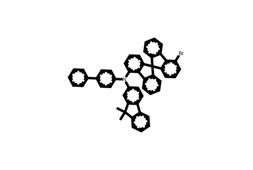 CC1(C)c2ccccc2-c2ccc(N(c3ccc(-c4ccccc4)cc3)c3cccc4c3-c3ccccc3C43c4ccccc4-c4c(Br)cccc43)cc21